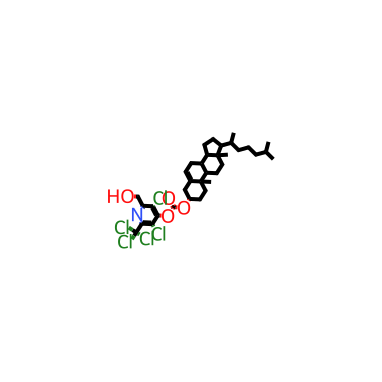 CC(C)CCCC(C)C1CCC2C3CC=C4CC(OC(=O)Oc5c(Cl)c(CO)nc(C(Cl)(Cl)Cl)c5Cl)CCC4(C)C3CCC12C